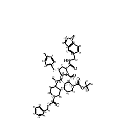 Cc1ccc(C[C@@H]2C[C@@H](C(=O)NCc3ccc4c(cnn4C)c3)N(C(=O)[C@H]3[C@@H](C(=O)N(C)C4CCN(C(=O)OCc5ccccc5)CC4)CCCN3C(=O)OC(C)(C)C)C2)cc1